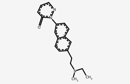 CCN(C)CCc1ccc2cc(-n3ncccc3=O)ccc2c1